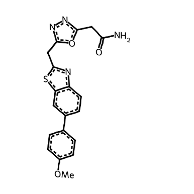 COc1ccc(-c2ccc3nc(Cc4nnc(CC(N)=O)o4)sc3c2)cc1